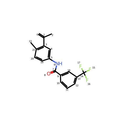 C=C(C)c1cc(NC(=O)c2cccc(C(F)(F)F)c2)ccc1C